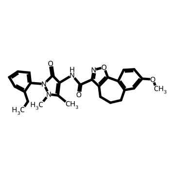 CCc1ccccc1-n1c(=O)c(NC(=O)c2noc3c2CCCc2cc(OC)ccc2-3)c(C)n1C